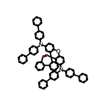 c1ccc(-c2ccc(N(c3ccc(-c4ccccc4)cc3)c3ccc4c(c3)C3(c5cc(N(c6ccc(-c7ccccc7)cc6)c6ccc(-c7ccccc7)cc6)ccc5O4)c4ccccc4-c4ccccc4-c4ccccc43)cc2)cc1